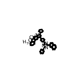 CC1(C)c2ccccc2-c2cc3c(-c4ccc(-c5nc(-c6ccccc6)nc(-c6ccc7ccccc7c6)n5)cc4)cc(-c4ccccc4)nc3cc21